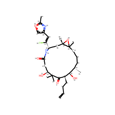 C=CCC[C@H]1C(=O)C(C)(C)[C@@H](O)CC(=O)N[C@H](C(F)=Cc2coc(C)n2)C[C@@H]2OC2(C)CCC[C@H](C)[C@H]1O